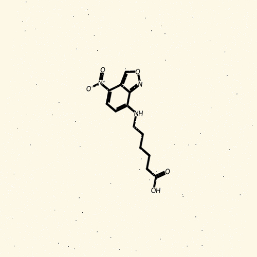 O=C(O)CCCCCNc1ccc([N+](=O)[O-])c2conc12